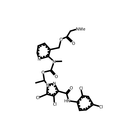 CNCC(=O)OCc1cccnc1N(C)C(=O)OC(C)n1nc(C(=O)Nc2ccc(Cl)cc2Cl)c(Cl)c1Cl